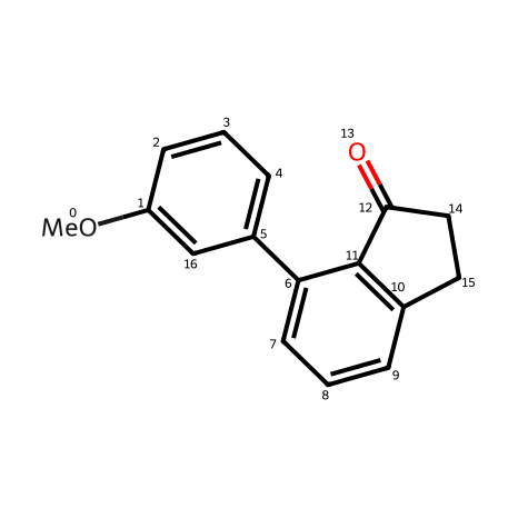 COc1cccc(-c2cccc3c2C(=O)CC3)c1